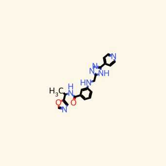 CC(NC(=O)c1cccc(NCc2nnc(-c3ccncc3)[nH]2)c1)c1cnco1